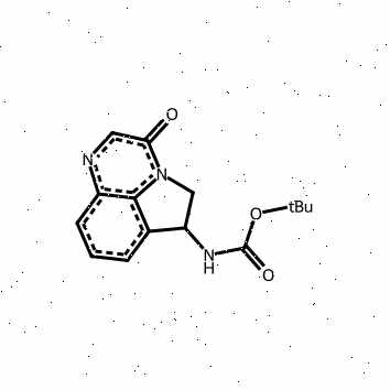 CC(C)(C)OC(=O)NC1Cn2c(=O)cnc3cccc1c32